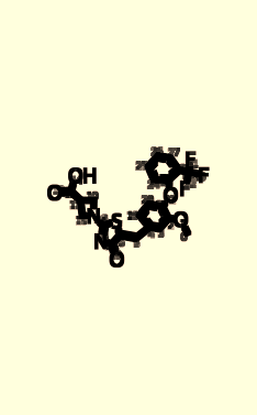 COc1cc(/C=C2\SC(N3CC(C(=O)O)C3)=NC2=O)ccc1Oc1ccccc1C(F)(F)F